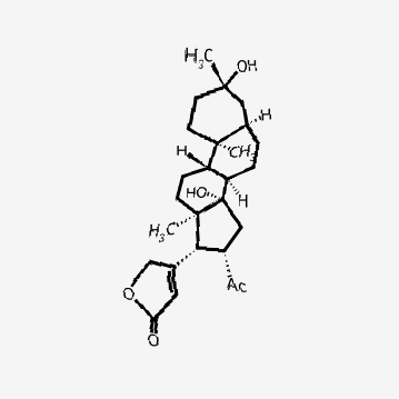 CC(=O)[C@H]1C[C@]2(O)[C@@H]3CC[C@@H]4C[C@@](C)(O)CC[C@]4(C)[C@H]3CC[C@]2(C)[C@H]1C1=CC(=O)OC1